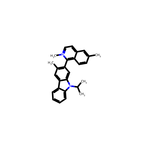 Cc1ccc2c(-c3cc4c(cc3C)c3ccccc3n4C(C)C)[n+](C)ccc2c1